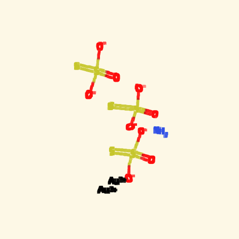 N.O=S([O-])([O-])=S.O=S([O-])([O-])=S.O=S([O-])([O-])=S.[Au+3].[Au+3]